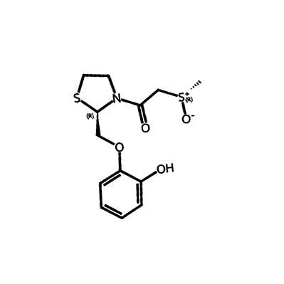 C[S@+]([O-])CC(=O)N1CCS[C@@H]1COc1ccccc1O